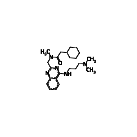 CN(C)CCCNc1nc(CN(C)C(=O)CC2CCCCC2)nc2ccccc12